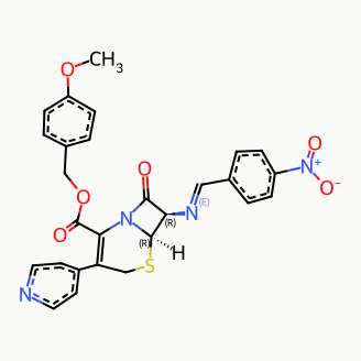 COc1ccc(COC(=O)C2=C(c3ccncc3)CS[C@@H]3[C@H](/N=C/c4ccc([N+](=O)[O-])cc4)C(=O)N23)cc1